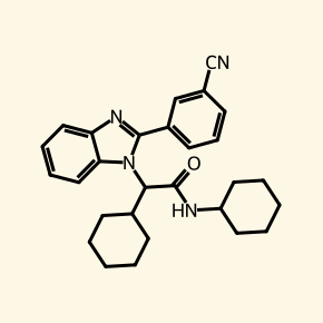 N#Cc1cccc(-c2nc3ccccc3n2C(C(=O)NC2CCCCC2)C2CCCCC2)c1